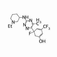 CCN1CCCC(Nc2nnc(C3(F)C=C(C(F)(F)F)C=C(O)C3)c(C)n2)C1